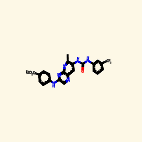 CCOC(=O)c1ccc(Nc2cnc3cc(NC(=O)Nc4cccc(C(F)(F)F)c4)c(C)nc3n2)cc1